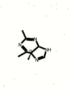 CC1=NC2NC=N[C@]2(C)C(C)=N1